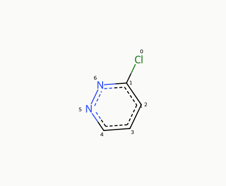 Clc1[c]ccnn1